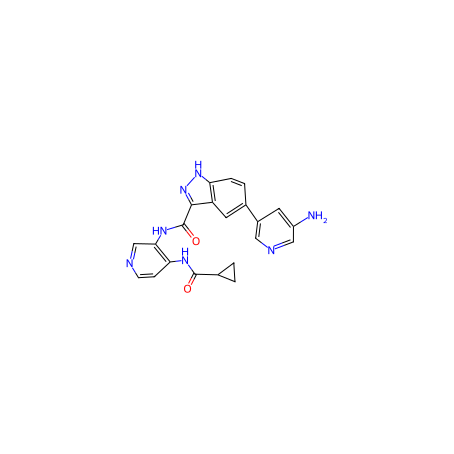 Nc1cncc(-c2ccc3[nH]nc(C(=O)Nc4cnccc4NC(=O)C4CC4)c3c2)c1